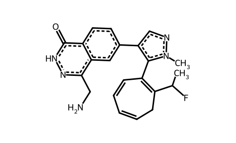 CC(F)C1=C(c2c(-c3ccc4c(=O)[nH]nc(CN)c4c3)cnn2C)C=CC=CC1